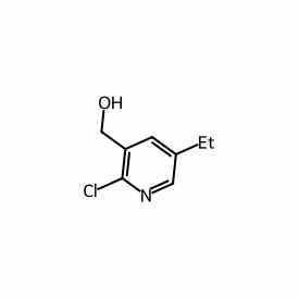 CCc1cnc(Cl)c(CO)c1